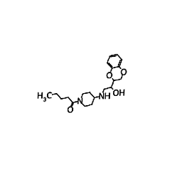 CCCCC(=O)N1CCC(NCC(O)C2COc3ccccc3O2)CC1